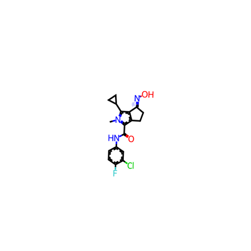 Cn1c(C(=O)Nc2ccc(F)c(Cl)c2)c2c(c1C1CC1)/C(=N/O)CC2